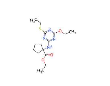 CCOC(=O)C1(Nc2nc(OCC)nc(SCC)n2)CCCC1